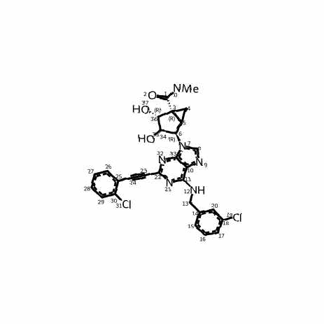 CNC(=O)[C@]12CC1[C@@H](n1cnc3c(NCc4cccc(Cl)c4)nc(C#Cc4ccccc4Cl)nc31)C(O)[C@@H]2O